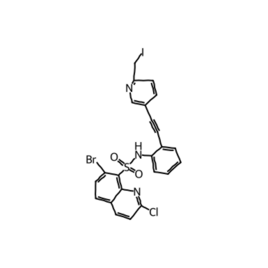 O=S(=O)(Nc1ccccc1C#Cc1ccc(CI)nc1)c1c(Br)ccc2ccc(Cl)nc12